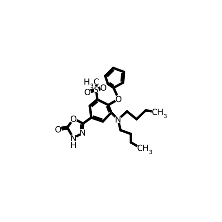 CCCCN(CCCC)c1cc(-c2n[nH]c(=O)o2)cc(S(C)(=O)=O)c1Oc1ccccc1